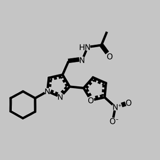 CC(=O)NN=Cc1cn(C2CCCCC2)nc1-c1ccc([N+](=O)[O-])o1